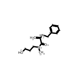 C=C(NCc1ccccc1)C(=O)N(C)CCCO